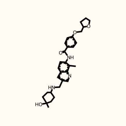 Cc1c(NC(=O)c2ccc(OCC3CCCO3)cc2)ccc2cc(CNC3CCC(C)(O)CC3)cnc12